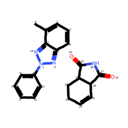 Cc1cccc2nn(-c3ccccc3)nc12.O=C1NC(=O)C2CCC=CC12